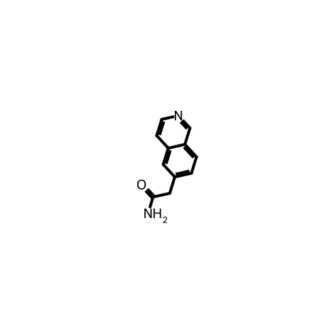 NC(=O)Cc1ccc2cnccc2c1